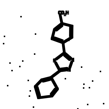 O=C(O)c1ccc(-c2nnc(-c3ccccc3)s2)cc1